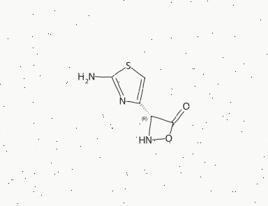 Nc1nc([C@H]2NOC2=O)cs1